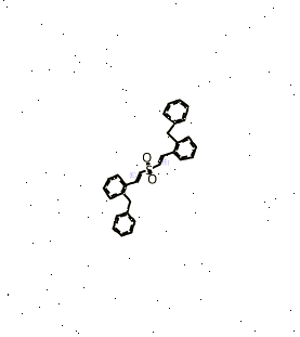 O=S(=O)(/C=C/c1ccccc1Cc1ccccc1)/C=C/c1ccccc1Cc1ccccc1